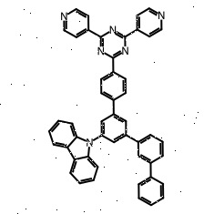 c1ccc(-c2cccc(-c3cc(-c4ccc(-c5nc(-c6ccncc6)nc(-c6ccncc6)n5)cc4)cc(-n4c5ccccc5c5ccccc54)c3)c2)cc1